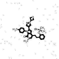 Cc1ccc(-n2c(-c3cnn(C4COC4)c3)cc3c(CCc4ccccc4O[Si](C)(C)C(C)(C)C)cn(C)c(=O)c32)cc1